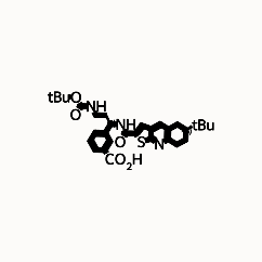 CC(C)(C)OC(=O)NCC[C@@H](NC(=O)c1cc2cc3c(nc2s1)CC[C@H](C(C)(C)C)C3)c1cccc(C(=O)O)c1